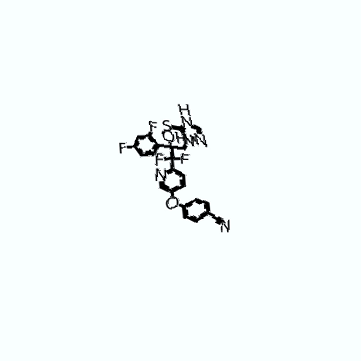 N#Cc1ccc(Oc2ccc(C(F)(F)[C@@](O)(Cn3nc[nH]c3=S)c3ccc(F)cc3F)nc2)cc1